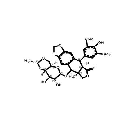 COc1cc([C@@H]2c3cc4c(cc3C(O[C@@H]3O[C@@H]5CO[C@@H](C)O[C@H]5[C@H](O)[C@H]3O)[C@@]3(C)COC(=O)[C@H]23)OCO4)cc(OC)c1O